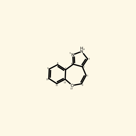 C1=Cc2c[nH]nc2-c2ccccc2O1